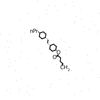 C=CCCC(=O)O[C@H]1CC[C@H](CC[C@H]2CC[C@H](CCC)CC2)CC1